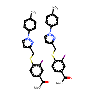 COC(=O)c1ccc(SCc2ccn(-c3ccc([N+](=O)[O-])cc3)n2)c(I)c1.COC(=O)c1ccc(SCc2ccn(-c3ccc([N+](=O)[O-])cc3)n2)c(I)c1